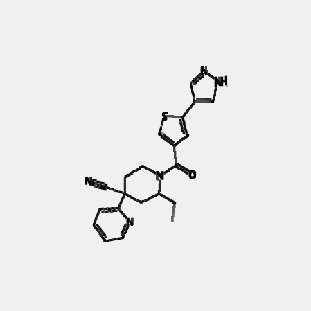 CCC1CC(C#N)(c2ccccn2)CCN1C(=O)c1csc(-c2cn[nH]c2)c1